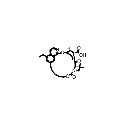 CCc1cc2cc3c(nccc13)O[C@@H]1C[C@@H](C(=O)O)N(C1)C(=O)[C@H](C(C)(C)C)NC(=O)OCCCCC2